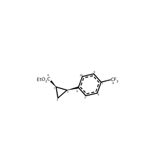 CCOC(=O)[C@@H]1C[C@@H]1c1ccc(C(F)(F)F)cc1